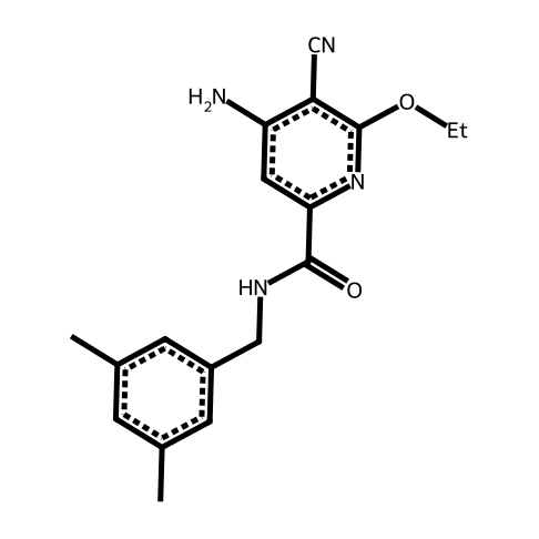 CCOc1nc(C(=O)NCc2cc(C)cc(C)c2)cc(N)c1C#N